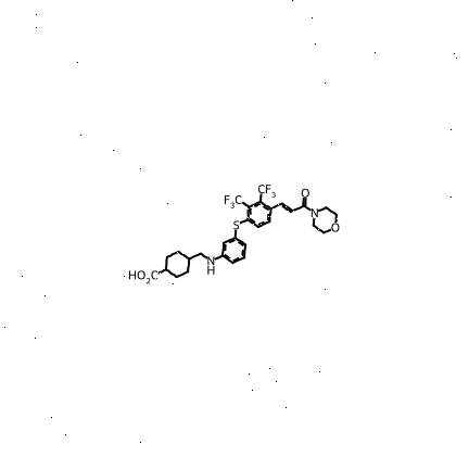 O=C(O)C1CCC(CNc2cccc(Sc3ccc(C=CC(=O)N4CCOCC4)c(C(F)(F)F)c3C(F)(F)F)c2)CC1